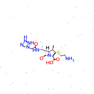 C[C@@H](NC(=O)CN1C=NNN1)[C@H]1C(=O)N2C(C(=O)O)=C(SCCN)[C@H](C)[C@H]12